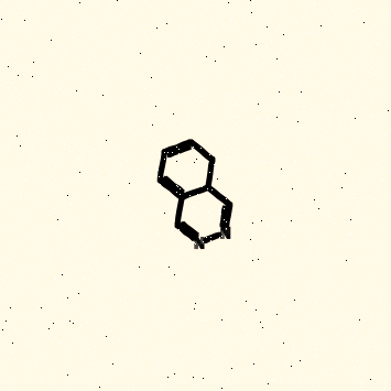 C1=CCC2C=NN=CC2=C1